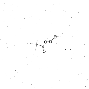 C[CH]OOC(=O)C(C)(C)C